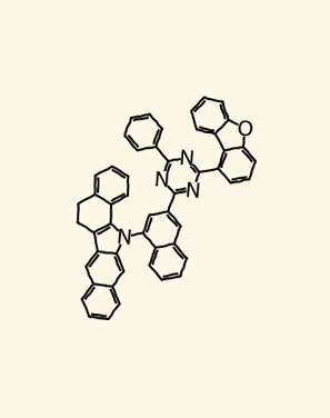 c1ccc(-c2nc(-c3cc(-n4c5c(c6cc7ccccc7cc64)CCc4ccccc4-5)c4ccccc4c3)nc(-c3cccc4oc5ccccc5c34)n2)cc1